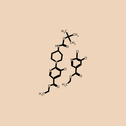 CCOC(=O)c1cnc(Cl)c(Cl)c1.CCOC(=O)c1cnc(N2CCC(NC(=O)OC(C)(C)C)CC2)c(Cl)c1